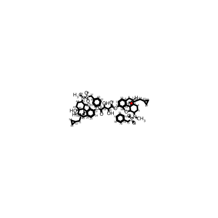 CN(C1CC[C@@]2(O)[C@H]3Cc4ccc(OC(=O)C(O)C(O)C(=O)Oc5ccc6c7c5OC5C(N(C)S(=O)(=O)Cc8ccccc8)CC[C@@]8(O)[C@@H](C6)N(CC6CC6)CC[C@]758)c5c4[C@@]2(CCN3CC2CC2)C1O5)S(=O)(=O)Cc1ccccc1